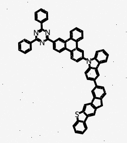 c1ccc(-c2nc(-c3ccccc3)nc(-c3ccc4c5ccc(-n6c7ccccc7c7cc(-c8ccc9c(c8)-c8cc%10sc%11ccccc%11c%10cc8C9)ccc76)cc5c5ccccc5c4c3)n2)cc1